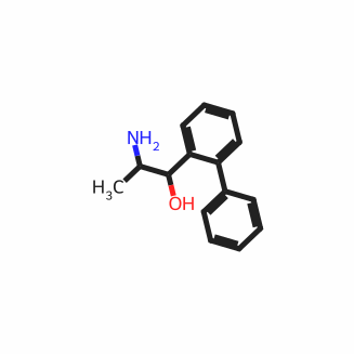 CC(N)C(O)c1ccccc1-c1ccccc1